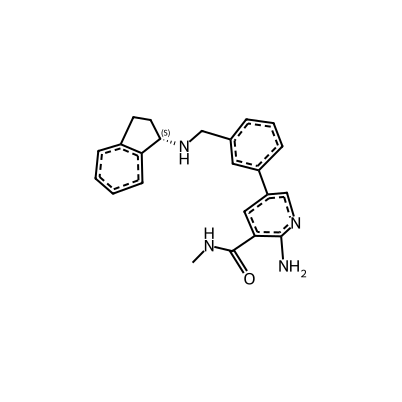 CNC(=O)c1cc(-c2cccc(CN[C@H]3CCc4ccccc43)c2)cnc1N